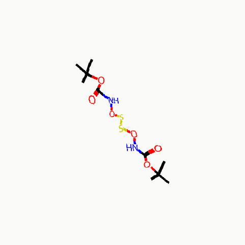 CC(C)(C)OC(=O)NOSSONC(=O)OC(C)(C)C